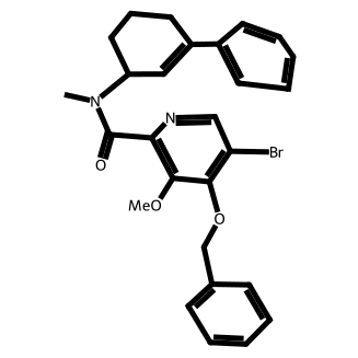 COc1c(C(=O)N(C)C2C=C(c3ccccc3)CCC2)ncc(Br)c1OCc1ccccc1